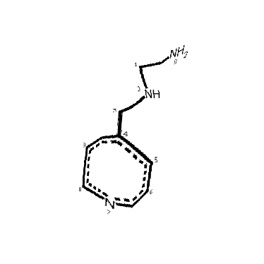 NCNCc1ccncc1